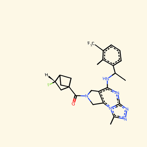 Cc1c(C(C)Nc2nc3nnc(C)n3c3c2CN(C(=O)C24CC(C2)[C@@H](F)C4)C3)cccc1C(F)(F)F